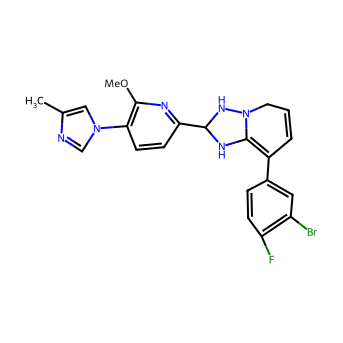 COc1nc(C2NC3=C(c4ccc(F)c(Br)c4)C=CCN3N2)ccc1-n1cnc(C)c1